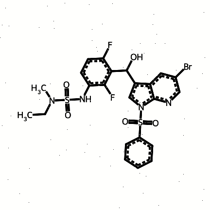 CCN(C)S(=O)(=O)Nc1ccc(F)c(C(O)c2cn(S(=O)(=O)c3ccccc3)c3ncc(Br)cc23)c1F